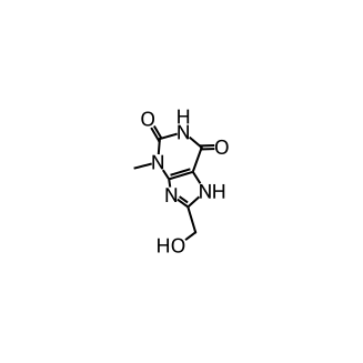 Cn1c(=O)[nH]c(=O)c2[nH]c(CO)nc21